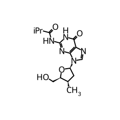 CC(C)C(=O)Nc1nc2c(ncn2[C@H]2C[C@@H](C)[C@@H](CO)O2)c(=O)[nH]1